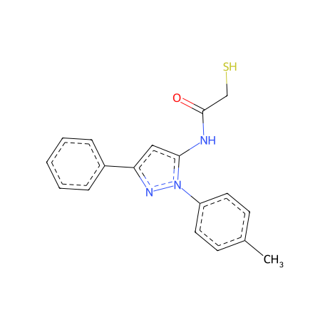 Cc1ccc(-n2nc(-c3ccccc3)cc2NC(=O)CS)cc1